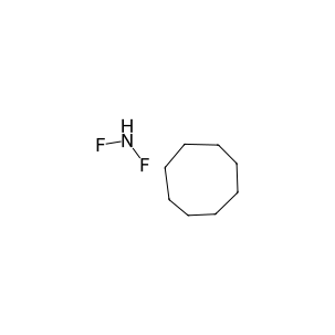 C1CCCCCCC1.FNF